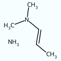 C/C=C/N(C)C.N